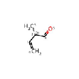 C=C[C@H](C)C=O